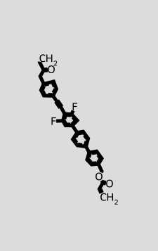 C=CC(=O)Cc1ccc(C#Cc2c(F)cc(-c3ccc(-c4ccc(COC(=O)C=C)cc4)cc3)cc2F)cc1